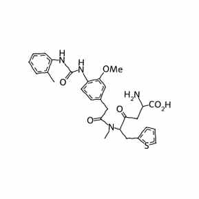 COc1cc(CC(=O)N(C)C(Cc2cccs2)C(=O)CC(N)C(=O)O)ccc1NC(=O)Nc1ccccc1C